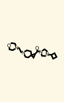 O=C(C1CC12CCN(CCN1CCOCC1)CC2)N1CCN(C2CCC2)CC1